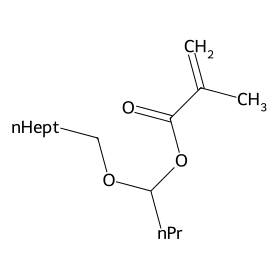 C=C(C)C(=O)OC(CCC)OCCCCCCCC